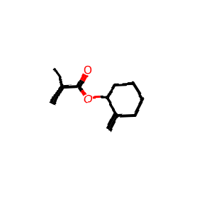 C=C(C)C(=O)OC1CCCCC1=C